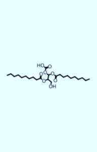 CCCCCCCCCC(=O)OC(CO)C(OC(=O)O)OC(=O)CCCCCCCCC